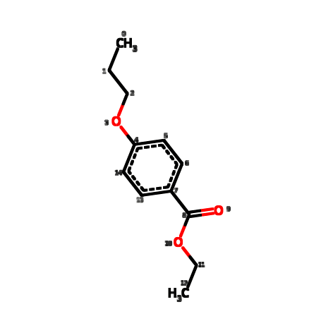 CCCOc1ccc(C(=O)OCC)cc1